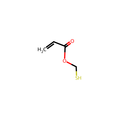 C=CC(=O)OCS